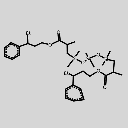 CCC(CCOC(=O)C(C)C[Si](C)(C)O[Si](C)(C)O[Si](C)(C)CC(C)C(=O)OCCC(CC)c1ccccc1)c1ccccc1